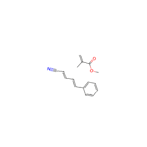 C=C(C)C(=O)OC.N#CC=CC=Cc1ccccc1